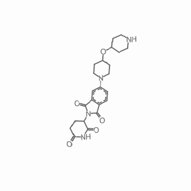 O=C1CCC(N2C(=O)c3ccc(N4CCC(OC5CCNCC5)CC4)cc3C2=O)C(=O)N1